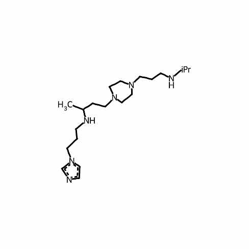 CC(C)NCCCN1CCN(CCC(C)NCCCn2ccnc2)CC1